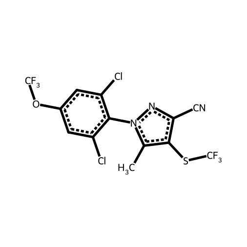 Cc1c(SC(F)(F)F)c(C#N)nn1-c1c(Cl)cc(OC(F)(F)F)cc1Cl